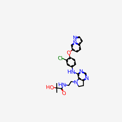 CC(C)(O)C(=O)NCCN1CCc2ncnc(Nc3ccc(Oc4ccc5ccnn5c4)c(Cl)c3)c21